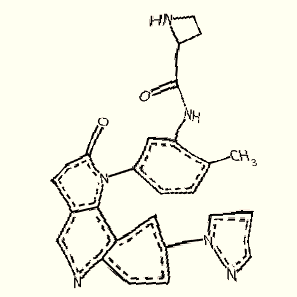 Cc1ccc(-n2c(=O)ccc3cnc4ccc(-n5cccn5)cc4c32)cc1NC(=O)C1CCN1